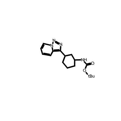 CC(C)(C)OC(=O)NC1CCCC(c2nnn3ccccc23)C1